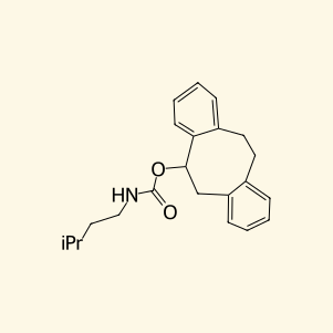 CC(C)CCNC(=O)OC1Cc2ccccc2CCc2ccccc21